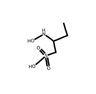 CCC(CS(=O)(=O)O)NO